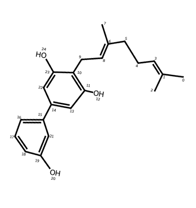 CC(C)=CCC/C(C)=C/Cc1c(O)cc(-c2cccc(O)c2)cc1O